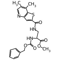 COC(=O)C(CNC(=O)c1cc2ncc(C)c(C)c2s1)NC(=O)OCc1ccccc1